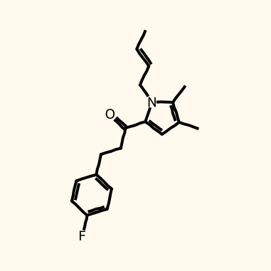 CC=CCn1c(C(=O)CCc2ccc(F)cc2)cc(C)c1C